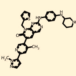 Cc1cc(-c2ccnn2C)ncc1-c1cc2cnc(Nc3ccc(NC4CCCNC4)cc3)nc2n(Cc2cccs2)c1=O